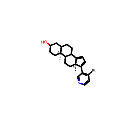 CCc1ccncc1C1=CC=C2C3CCC4CC(O)CC[C@]4(C)C3CC[C@]12C